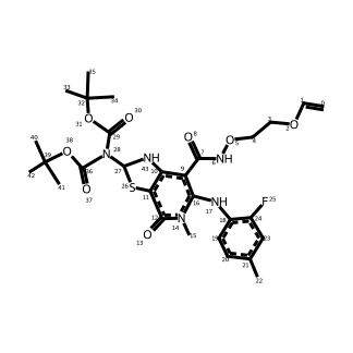 C=COCCONC(=O)c1c2c(c(=O)n(C)c1Nc1ccc(C)cc1F)SC(N(C(=O)OC(C)(C)C)C(=O)OC(C)(C)C)N2